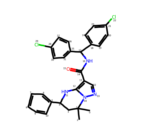 CC1(C)CC(c2ccccc2)Nc2c(C(=O)NC(c3ccc(Cl)cc3)c3ccc(Cl)cc3)cnn21